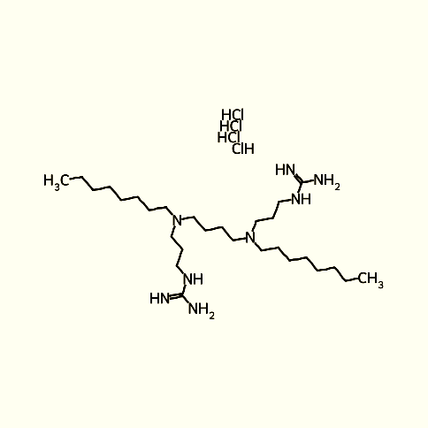 CCCCCCCCN(CCCCN(CCCCCCCC)CCCNC(=N)N)CCCNC(=N)N.Cl.Cl.Cl.Cl